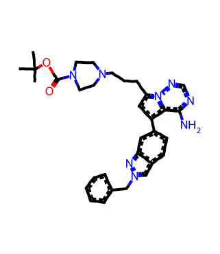 CC(C)(C)OC(=O)N1CCN(CCCc2cc(-c3ccc4cn(Cc5ccccc5)nc4c3)c3c(N)ncnn23)CC1